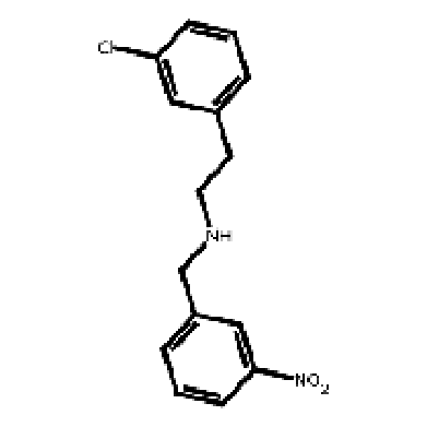 O=[N+]([O-])c1cccc(CNCCc2cccc(Cl)c2)c1